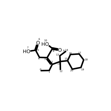 CCC(=C(CC(=O)O)C(=O)O)C(C)(CC)C1CCCCC1